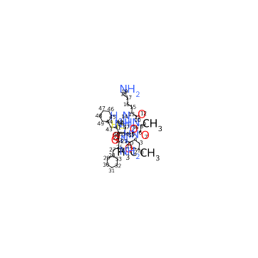 CC(C)C[C@H](NC(=O)[C@H](C)NC(=O)[C@@H](N)CCCCN)C(=O)N(C(=O)[C@@H](N)CC1CCCCC1)[C@]([C]=O)(CS)C(=O)[C@@H](N)CC1CCCCC1